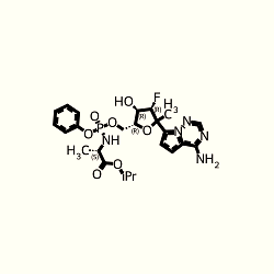 CC(C)OC(=O)[C@H](C)NP(=O)(OC[C@H]1OC(C)(c2ccc3c(N)ncnn23)[C@H](F)[C@@H]1O)Oc1ccccc1